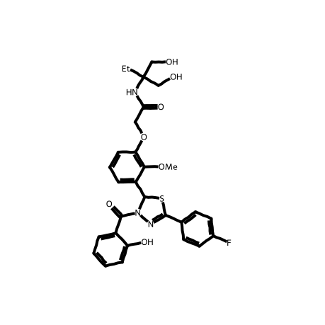 CCC(CO)(CO)NC(=O)COc1cccc(C2SC(c3ccc(F)cc3)=NN2C(=O)c2ccccc2O)c1OC